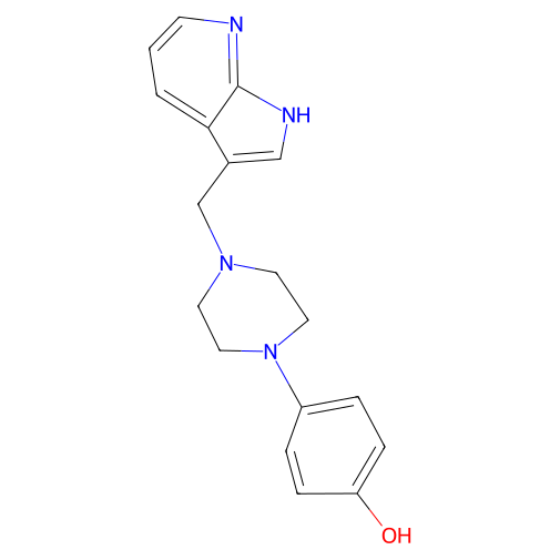 Oc1ccc(N2CCN(Cc3c[nH]c4ncccc34)CC2)cc1